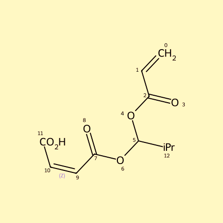 C=CC(=O)OC(OC(=O)/C=C\C(=O)O)C(C)C